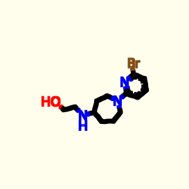 OCCNC1CCCN(c2cccc(Br)n2)CC1